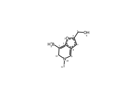 BC1=c2oc(CO)cc2=CN(I)C1